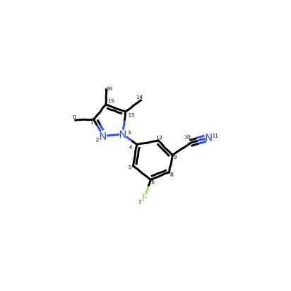 Cc1nn(-c2cc(F)cc(C#N)c2)c(C)c1C